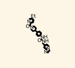 CCc1ccc(C(=O)N2CCC(c3ccc(NC(=O)NCc4ccn5ccnc5c4)cc3)CC2)nc1